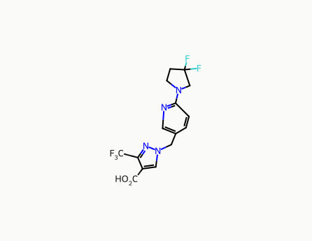 O=C(O)c1cn(Cc2ccc(N3CCC(F)(F)C3)nc2)nc1C(F)(F)F